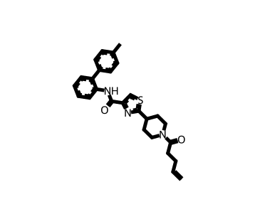 C=CCCC(=O)N1CCC(c2nc(C(=O)Nc3ccccc3-c3ccc(C)cc3)cs2)CC1